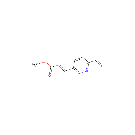 COC(=O)/C=C/c1ccc(C=O)nc1